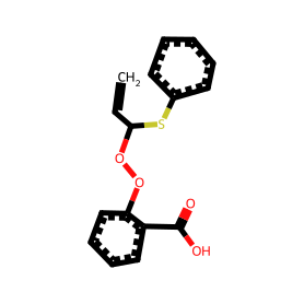 C=CC(OOc1ccccc1C(=O)O)Sc1ccccc1